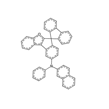 c1ccc(N(c2ccc3c(c2)-c2c(oc4ccccc24)C32c3ccccc3-c3ccccc32)c2ccc3ccccc3c2)cc1